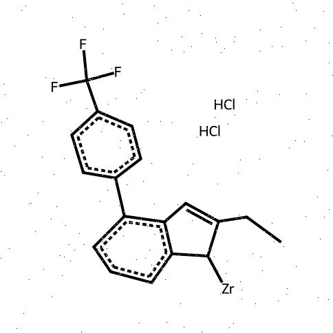 CCC1=Cc2c(-c3ccc(C(F)(F)F)cc3)cccc2[CH]1[Zr].Cl.Cl